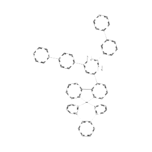 c1ccc(-c2ccc(-c3cc(-c4cccc5c4-c4ccccc4C54c5ccccc5-c5ccccc5-c5ccccc54)nc(-c4cccc(-c5ccccc5)c4)n3)cc2)cc1